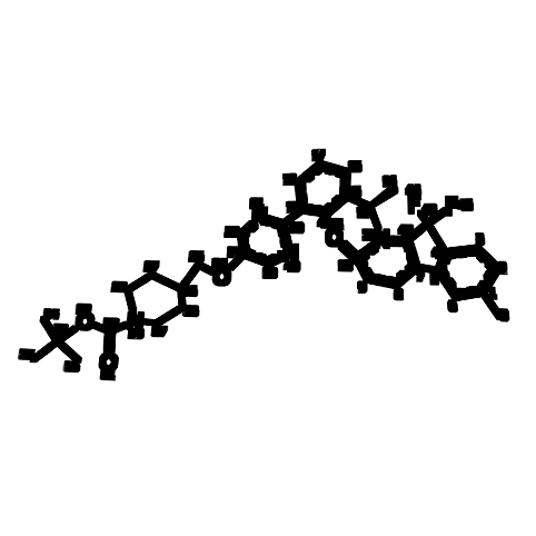 Cc1ccc2c(c1)-c1ccc(=O)n([C@H](C)c3cccc(-c4ncc(OCC5CCN(C(=O)OC(C)(C)C)CC5)cn4)c3)c1C2(F)F